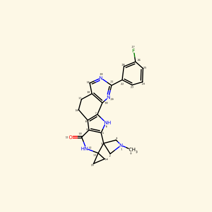 CN1CC2(C1)c1[nH]c3c(c1C(=O)NC21CC1)CCc1cnc(-c2cccc(F)c2)nc1-3